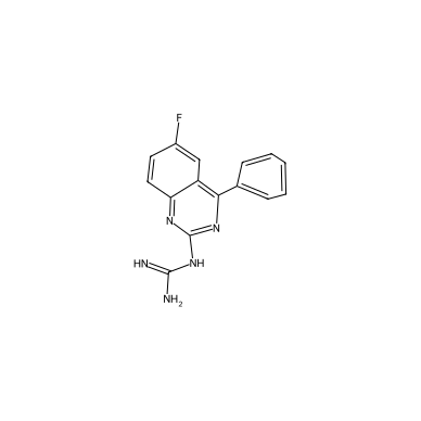 N=C(N)Nc1nc(-c2ccccc2)c2cc(F)ccc2n1